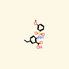 CCc1ccc(NS(=O)(=O)c2cccc(OC)c2)c(C(=O)O)c1